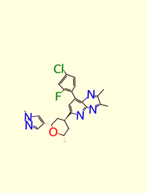 Cc1nc2nc([C@@H]3C[C@@H](c4cnn(C)c4)O[C@@H](C)C3)cc(-c3ccc(Cl)cc3F)c2nc1C